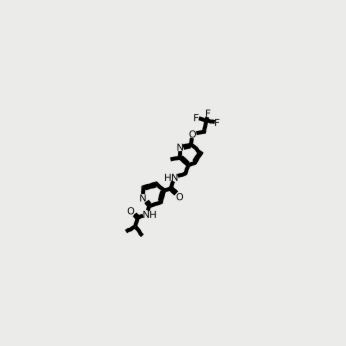 Cc1nc(OCC(F)(F)F)ccc1CNC(=O)c1ccnc(NC(=O)C(C)C)c1